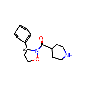 O=C(C1CCNCC1)N1OCC[C@H]1c1ccccc1